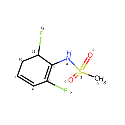 CS(=O)(=O)NC1=C(F)C=CCC1F